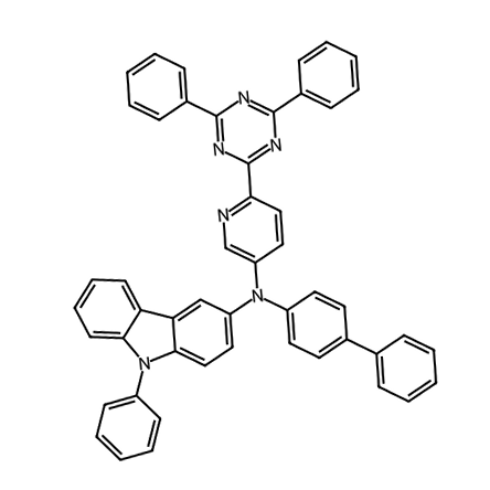 c1ccc(-c2ccc(N(c3ccc(-c4nc(-c5ccccc5)nc(-c5ccccc5)n4)nc3)c3ccc4c(c3)c3ccccc3n4-c3ccccc3)cc2)cc1